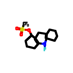 O=S(=O)(OC1CCCC2=C1CC1=C(CCCC1)N2F)C(F)(F)F